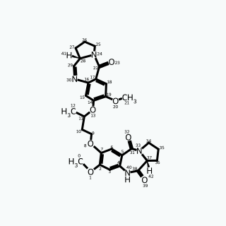 COc1cc2c(cc1OCCC(C)Oc1cc3c(cc1OC)C(=O)N1CCC[C@H]1C=N3)C(=O)N1CCC[C@@H]1C(=O)N2